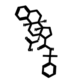 CC(C)(NC(=O)C1CC[C@H]2[C@@H]3CCc4ccccc4[C@H]3CC[C@]12CC(=O)O)c1ccccc1